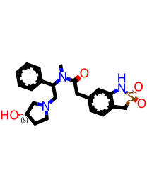 CN(C(=O)Cc1ccc2c(c1)NS(=O)(=O)C2)C(CN1CC[C@H](O)C1)c1ccccc1